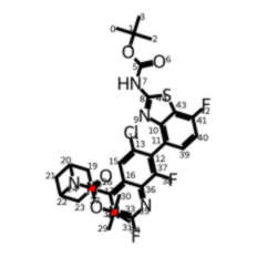 CC(C)(C)OC(=O)Nc1nc2c(-c3c(Cl)cc4c(N5CC6CC(C5)N6C(=O)OC(C)(C)C)nc(F)nc4c3F)ccc(F)c2s1